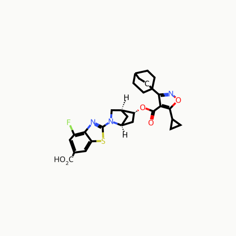 O=C(O)c1cc(F)c2nc(N3C[C@@H]4C[C@H]3C[C@H]4OC(=O)c3c(C45CCC(CC4)CC5)noc3C3CC3)sc2c1